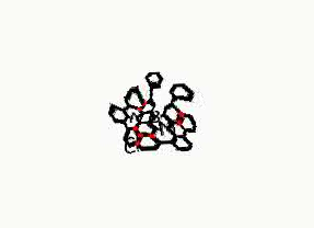 Clc1cc2c3c(c1)N(c1c(-c4ccccc4)cccc1-c1ccccc1)c1ccc(-c4ccccc4)cc1B3c1cc(-c3ccccc3)ccc1N2c1c(-c2ccccc2)cccc1-c1ccccc1